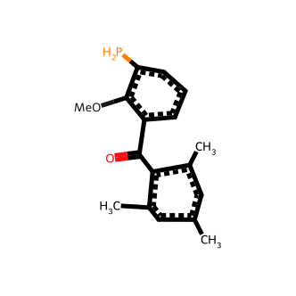 COc1c(P)cccc1C(=O)c1c(C)cc(C)cc1C